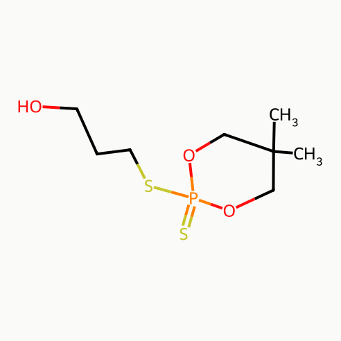 CC1(C)COP(=S)(SCCCO)OC1